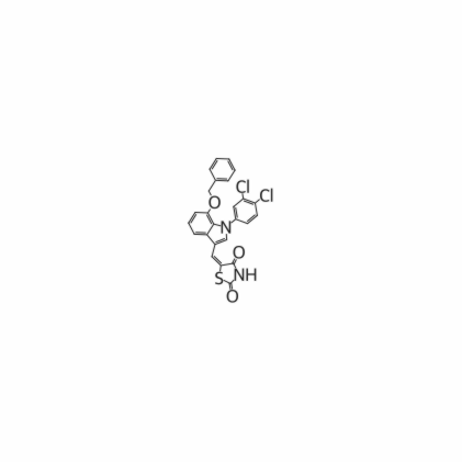 O=C1NC(=O)C(=Cc2cn(-c3ccc(Cl)c(Cl)c3)c3c(OCc4ccccc4)cccc23)S1